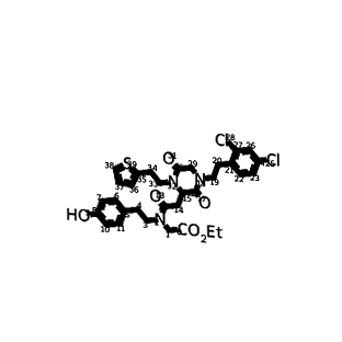 CCOC(=O)CN(CCc1ccc(O)cc1)C(=O)CC1C(=O)N(CCc2ccc(Cl)cc2Cl)CC(=O)N1CCc1cccs1